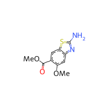 COC(=O)c1cc2sc(N)nc2cc1OC